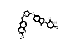 COc1ncc2cc(CN3CCC(Oc4ccc5c(c4)CN(C4CCC(=O)NC4=O)C5=O)C3)ccc2n1